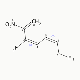 C=C(/C(F)=C\C=C/CF)[N+](=O)[O-]